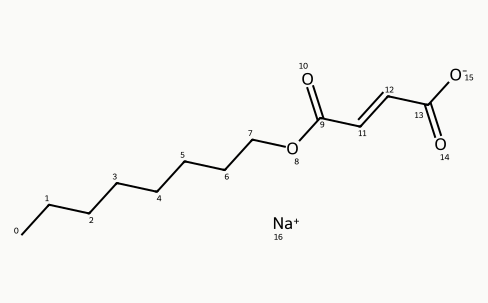 CCCCCCCCOC(=O)C=CC(=O)[O-].[Na+]